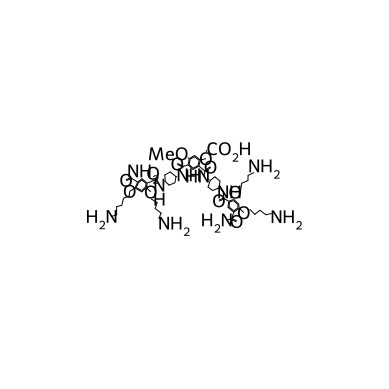 COc1cc(OCC(=O)O)c(C(=O)N[C@H]2CC[C@H](NC(=O)c3cc(C(N)=O)c(OCCCCCN)cc3OCCCCCN)CC2)cc1C(=O)N[C@H]1CC[C@H](NC(=O)c2cc(C(N)=O)c(OCCCCCN)cc2OCCCCCN)CC1